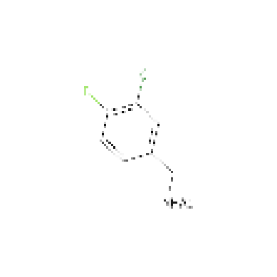 CC(=O)NCc1ccc(F)c(Cl)c1